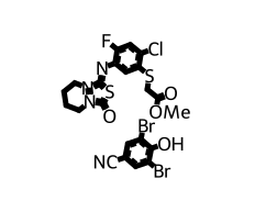 COC(=O)CSc1cc(/N=c2\sc(=O)n3n2CCCC3)c(F)cc1Cl.N#Cc1cc(Br)c(O)c(Br)c1